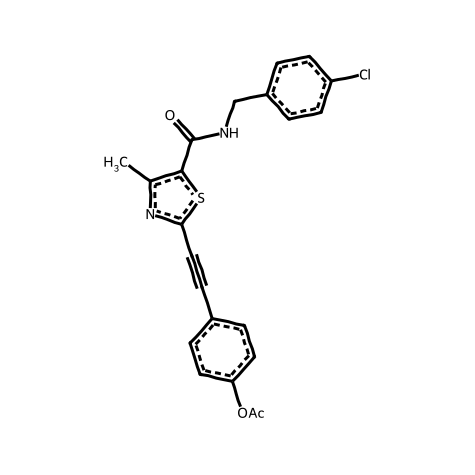 CC(=O)Oc1ccc(C#Cc2nc(C)c(C(=O)NCc3ccc(Cl)cc3)s2)cc1